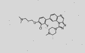 C[C@@H]1CN(c2nnc3cnc4ccc(-c5ccc(OCCCN(C)C)c(Cl)c5F)cc4n23)C[C@H](C)N1C